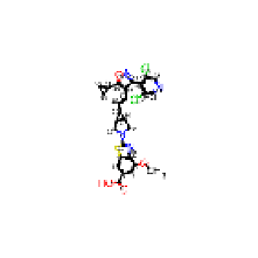 COc1cc(C(=O)O)cc2sc(N3CC4C(C=Cc5c(-c6c(Cl)cncc6Cl)noc5C5CC5)C4C3)nc12